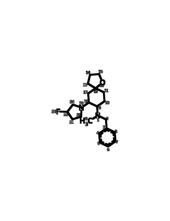 CN(Cc1ccccc1)C1CCC2(CCCO2)CC1N1CCC(F)C1